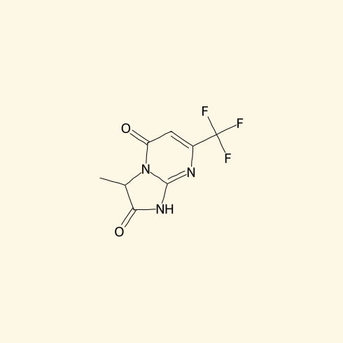 CC1C(=O)Nc2nc(C(F)(F)F)cc(=O)n21